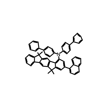 CC1(C)c2ccccc2-c2cc3c(cc21)-c1c(N(c2ccc(-c4ccccc4)cc2)c2ccc(-c4ccccc4)cc2)cc(-c2cccc4ccccc24)cc1C3(C)C